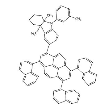 Cc1cc(N2c3ccc(-c4cc(-c5cccc6ccccc56)c5ccc6c(-c7cccc8ccccc78)cc(-c7cccc8ccccc78)c7ccc4c5c76)cc3C3(C)CCCCC23C)ccn1